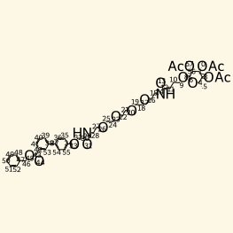 CC(=O)O[C@@H]1[C@@H](OC(C)=O)[C@H](C)O[C@@H](OCCCC(=O)NCCOCCOCCOCCOCCNC(=O)COc2ccc(-c3cccc(C(=O)OCc4ccccc4)c3)cc2)[C@@H]1OC(C)=O